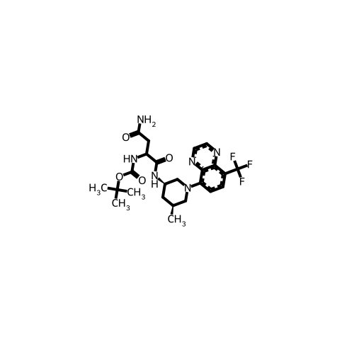 C[C@H]1C[C@@H](NC(=O)C(CC(N)=O)NC(=O)OC(C)(C)C)CN(c2ccc(C(F)(F)F)c3nccnc23)C1